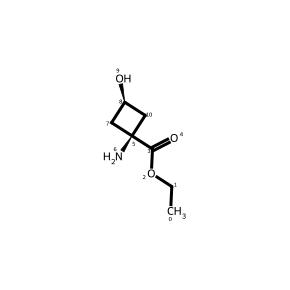 CCOC(=O)[C@]1(N)C[C@@H](O)C1